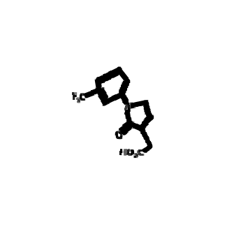 O=C(O)CC1CCN(c2cccc(C(F)(F)F)c2)C1=O